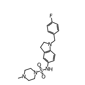 CN1CCN(S(=O)(=O)Nc2ccc3c(c2)CCN3Cc2ccc(F)cc2)CC1